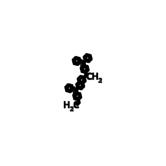 C=Cc1ccc(N(c2ccccc2)c2ccc3cc(C(=C)c4ccc(N(c5ccccc5)c5ccccc5)cc4)ccc3c2)cc1